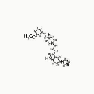 COc1cccc(CCC2(F)CCN(CCCc3c[nH]c4ccc(-n5cnnc5)cc34)CC2)c1